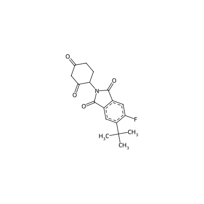 CC(C)(C)c1cc2c(cc1F)C(=O)N(C1CCC(=O)CC1=O)C2=O